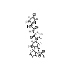 Cc1cc(-c2ccccc2NS(C)(=O)=O)c(F)cc1N1CCC[C@@H](NC(=O)Nc2ncc(Cl)cc2F)C1=O